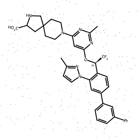 Cc1ccn(-c2cc(-c3cccc(C(C)C)c3)ccc2[C@@H](Oc2cc(N3CCC4(CC3)CNC(C(=O)O)C4)nc(C)n2)C(F)(F)F)n1